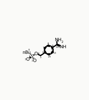 CCCCS(=O)(=O)OCc1ccc(C(=N)N)cc1